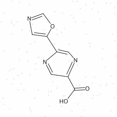 O=C(O)c1cnc(-c2cnco2)cn1